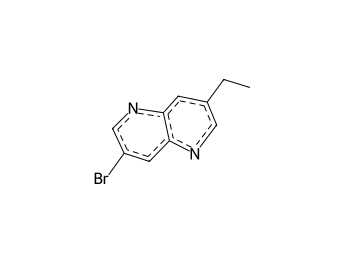 CCc1cnc2cc(Br)cnc2c1